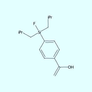 C=C(O)c1ccc([Si](F)(CC(C)C)CC(C)C)cc1